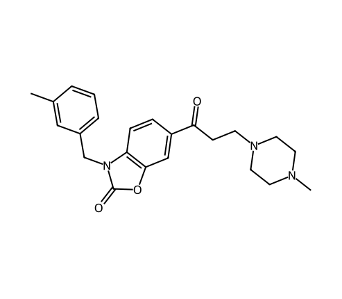 Cc1cccc(Cn2c(=O)oc3cc(C(=O)CCN4CCN(C)CC4)ccc32)c1